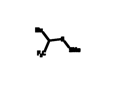 CCC(C)C(SSC)C(F)(F)F